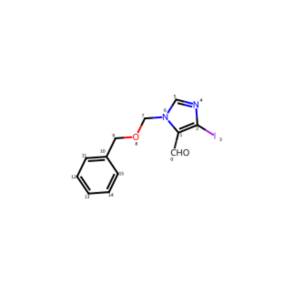 O=Cc1c(I)ncn1COCc1ccccc1